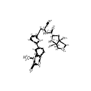 Cn1c(=O)oc2ccc(-c3ccc(C[C@@H](C#N)NC(=O)[C@@H]4C[C@@H]5COC[C@@H]5N4)s3)cc21